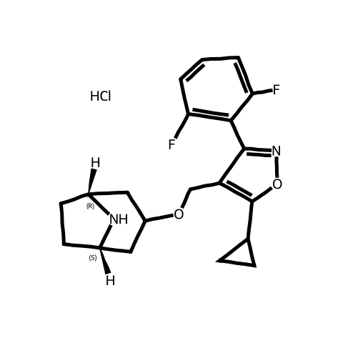 Cl.Fc1cccc(F)c1-c1noc(C2CC2)c1COC1C[C@H]2CC[C@@H](C1)N2